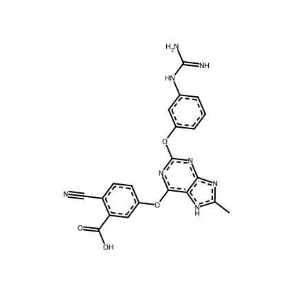 Cc1nc2nc(Oc3cccc(NC(=N)N)c3)nc(Oc3ccc(C#N)c(C(=O)O)c3)c2[nH]1